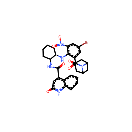 O=C1CC2CC(C1)N2C(=O)c1cc(Br)cc([N+](=O)[O-])c1N[C@@H]1CCCC[C@@H]1NC(=O)c1cc(=O)[nH]c2ccccc12